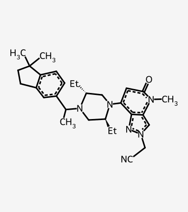 CC[C@H]1CN(C(C)c2ccc3c(c2)CCC3(C)C)[C@H](CC)CN1c1cc(=O)n(C)c2cn(CC#N)nc12